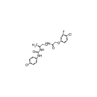 C=C(CCNC(=O)COc1ccc(Cl)c(F)c1)NC(=O)Nc1ccc(Cl)cc1